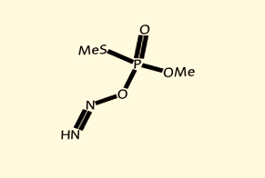 COP(=O)(ON=N)SC